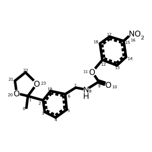 CC1(c2cccc(CNC(=O)Oc3ccc([N+](=O)[O-])cc3)c2)OCCO1